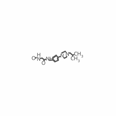 CC(C)CN1CCN(c2ccc(CNC(=O)CNC=O)cc2)CC1